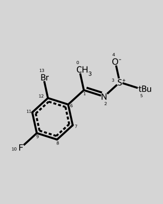 C/C(=N\[S+]([O-])C(C)(C)C)c1ccc(F)cc1Br